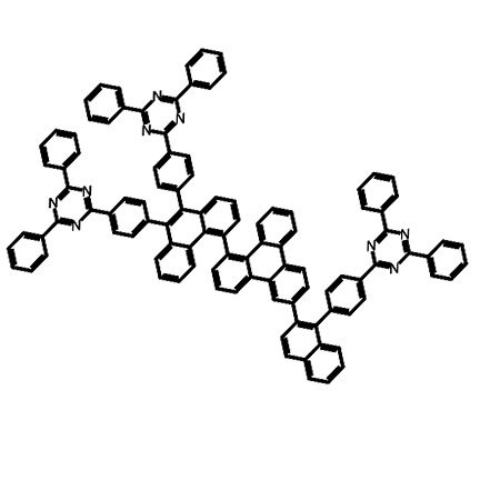 c1ccc(-c2nc(-c3ccccc3)nc(-c3ccc(-c4c(-c5ccc6c7ccccc7c7c(-c8cccc9c(-c%10ccc(-c%11nc(-c%12ccccc%12)nc(-c%12ccccc%12)n%11)cc%10)c(-c%10ccc(-c%11nc(-c%12ccccc%12)nc(-c%12ccccc%12)n%11)cc%10)c%10ccccc%10c89)cccc7c6c5)ccc5ccccc45)cc3)n2)cc1